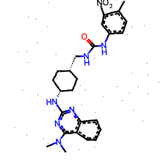 Cc1ccc(NC(=O)NC[C@H]2CC[C@@H](Nc3nc(N(C)C)c4ccccc4n3)CC2)cc1[N+](=O)[O-]